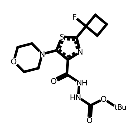 CC(C)(C)OC(=O)NNC(=O)c1nc(C2(F)CCC2)sc1N1CCOCC1